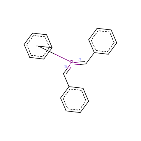 [CH](c1ccccc1)/P(=C\c1ccccc1)=C/c1ccccc1